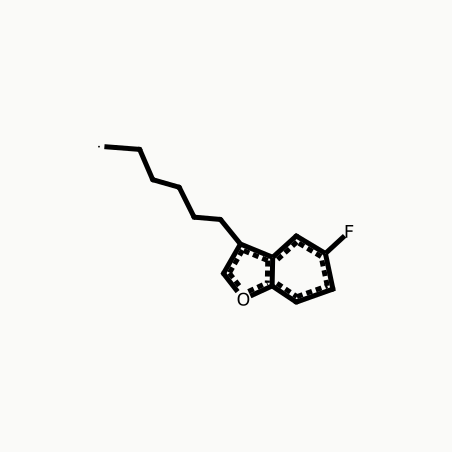 [CH2]CCCCCc1coc2ccc(F)cc12